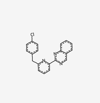 Clc1ccc(Cc2cccc(-c3ncc4ccccc4n3)n2)cc1